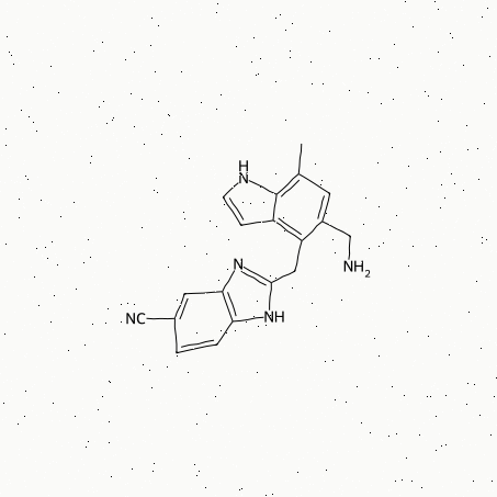 Cc1cc(CN)c(Cc2nc3cc(C#N)ccc3[nH]2)c2cc[nH]c12